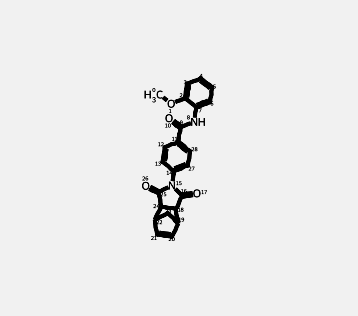 COc1ccccc1NC(=O)c1ccc(N2C(=O)C3C4C=CC(C4)C3C2=O)cc1